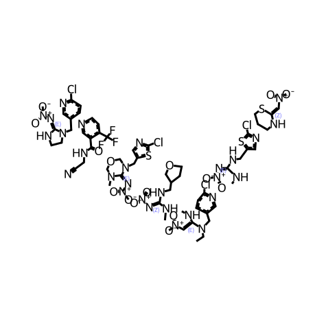 CCN(Cc1ccc(Cl)nc1)/C(=C/[N+](=O)[O-])NC.CN/C(=N/[N+](=O)[O-])NCC1CCOC1.CN/C(=N\[N+](=O)[O-])NCc1cnc(Cl)s1.CN1COCN(Cc2cnc(Cl)s2)/C1=N/[N+](=O)[O-].N#CCNC(=O)c1cnccc1C(F)(F)F.O=[N+]([O-])/C=C1/NCCCS1.O=[N+]([O-])/N=C1\NCCN1Cc1ccc(Cl)nc1